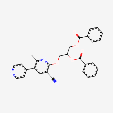 Cc1nc(OCC(COC(=O)c2ccccc2)OC(=O)c2ccccc2)c(C#N)cc1-c1ccncc1